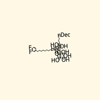 CCCCCCCCCCCCCC[C@@H](O)[C@@H](O)[C@H](COC1OC(CO)C(O)C(O)C1O)NC1(CCCCCCCCCCc2ccc(F)c(F)c2)COC1